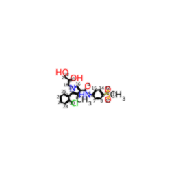 Cc1c(C(=O)Nc2ccc(S(C)(=O)=O)cc2)cn(CC(O)CO)c1-c1ccccc1Cl